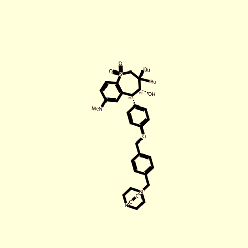 CCC(C)C1(C(C)CC)CS(=O)(=O)c2ccc(NC)cc2[C@@H](c2ccc(OCc3ccc(C[N+]45CCN(CC4)CC5)cc3)cc2)[C@H]1O